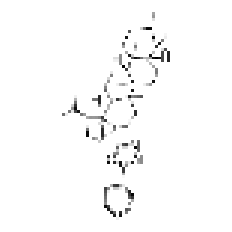 C=C(C)[C@@H]1CC[C@]2(c3nnc(-c4ccccc4)o3)CC[C@]3(C)[C@H](CC[C@@H]4[C@@]5(C)CC[C@H](C)C(C)(C)[C@@H]5CC[C@]43C)[C@@H]12